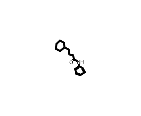 O=C(CCCC1CCCCC1)Nc1ccccc1